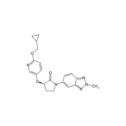 Cn1nc2ccc(N3CC[C@@H](Oc4ccc(OCC5CC5)nc4)C3=O)cc2n1